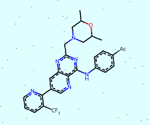 CC(=O)c1ccc(Nc2nc(CN3CC(C)OC(C)C3)nc3cc(-c4ncccc4C(F)(F)F)cnc23)cc1